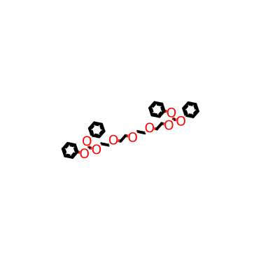 c1ccc(OC(OCCOCCOCCOCCOC(Oc2ccccc2)Oc2ccccc2)Oc2ccccc2)cc1